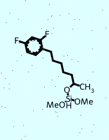 CO[SiH](OC)OC(C)CCCCCc1ccc(F)cc1F